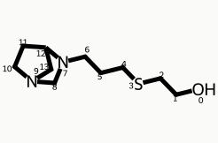 OCCSCCCN1CN2CCC1C2